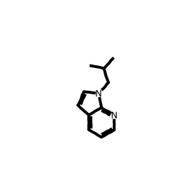 CC(C)Cn1ccc2cccnc21